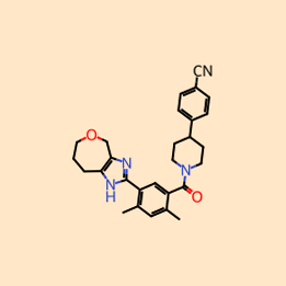 Cc1cc(C)c(-c2nc3c([nH]2)CCCOC3)cc1C(=O)N1CCC(c2ccc(C#N)cc2)CC1